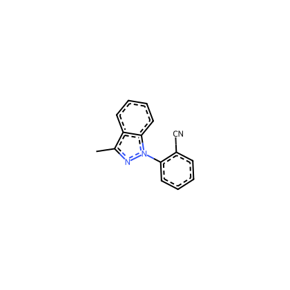 Cc1nn(-c2ccccc2C#N)c2ccccc12